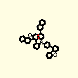 c1ccc(N(c2ccc(-c3ccc4ccccc4c3)cc2)c2ccc(-c3cccc4oc5ccccc5c34)cc2)c(-c2cccc3oc4c5ccccc5ccc4c23)c1